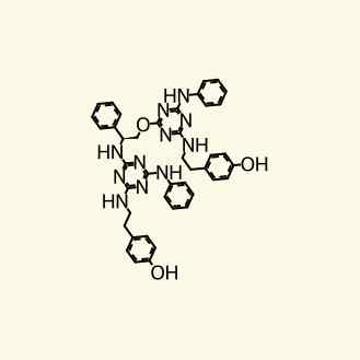 Oc1ccc(CCNc2nc(Nc3ccccc3)nc(N[C@H](COc3nc(NCCc4ccc(O)cc4)nc(Nc4ccccc4)n3)c3ccccc3)n2)cc1